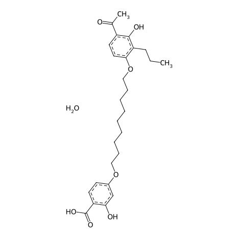 CCCc1c(OCCCCCCCCCOc2ccc(C(=O)O)c(O)c2)ccc(C(C)=O)c1O.O